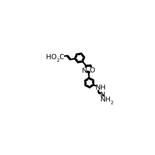 NN=CNc1cccc(-c2nc(-c3cccc(C=CC(=O)O)c3)co2)c1